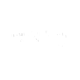 O=C(NO)c1ccc2oc(-c3ccc(-c4cccc(F)c4O)cc3F)nc2c1